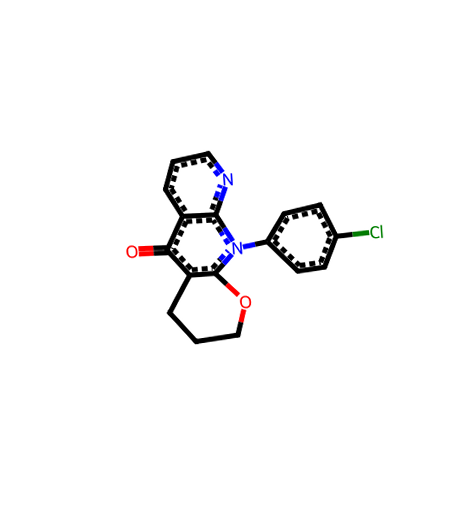 O=c1c2c(n(-c3ccc(Cl)cc3)c3ncccc13)OCCC2